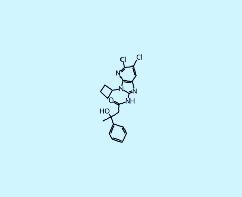 CC(O)(CC(=O)Nc1nc2cc(Cl)c(Cl)nc2n1C1CCC1)c1ccccc1